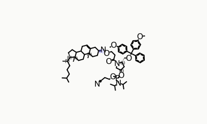 COc1ccc(C(OC[C@@H]2C[C@@H](OP(OCCC#N)N(C(C)C)C(C)C)CN2C(=O)CCO/N=C2\CC[C@@]3(C)C(=CCC4C3CC[C@@]3(C)C4CC[C@@H]3[C@H](C)CCCC(C)C)C2)(c2ccccc2)c2ccc(OC)cc2)cc1